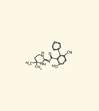 CC1(C)CCN/C(=N\C(=O)c2c(O)ccc(C#N)c2-c2ccccc2)N1